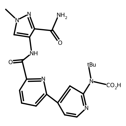 Cn1cc(NC(=O)c2cccc(-c3ccnc(N(C(=O)O)C(C)(C)C)c3)n2)c(C(N)=O)n1